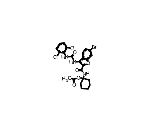 CC(=O)OC1(NC(=O)c2oc3cc(Br)ccc3c2NC(=O)Nc2c(Cl)cccc2Cl)CCCCC1